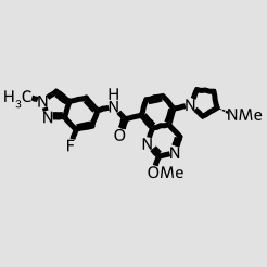 CN[C@H]1CCN(c2ccc(C(=O)Nc3cc(F)c4nn(C)cc4c3)c3nc(OC)ncc23)C1